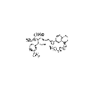 CO[C@H](c1cc(COc2ccc3c(c2)[C@]2(CCC3)C[C@H]2C(=O)O)ccc1-c1ccnc(C)c1)C(C)(C)C